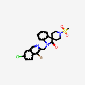 CS(=O)(=O)N1CCC2(CC1)C(=O)N(Cc1ncc3cc(Cl)ccc3c1Br)c1ccccc12